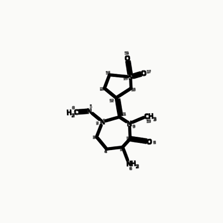 C=NN1CCC(N)C(=O)N(C)/C1=C1/CCS(=O)(=O)C1